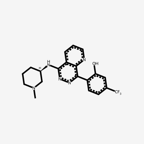 CN1CCC[C@@H](Nc2nnc(-c3ccc(C(F)(F)F)cc3O)c3ncccc23)C1